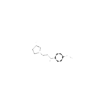 CC(C)Oc1ccc([C@@H](O)CCN2CC[C@H](O)C2)cc1